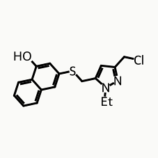 CCn1nc(CCl)cc1CSc1cc(O)c2ccccc2c1